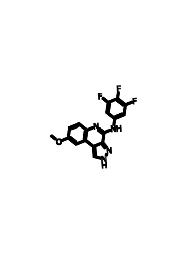 COc1ccc2nc(Nc3cc(F)c(F)c(F)c3)c3n[nH]cc3c2c1